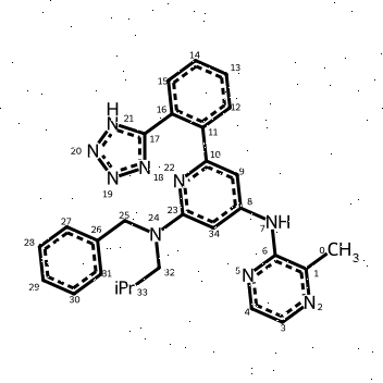 Cc1nccnc1Nc1cc(-c2ccccc2-c2nnn[nH]2)nc(N(Cc2ccccc2)CC(C)C)c1